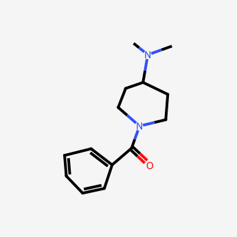 CN(C)C1CCN(C(=O)c2ccccc2)CC1